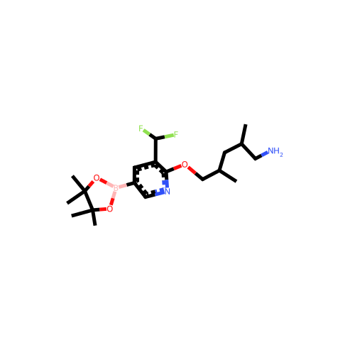 CC(CN)CC(C)COc1ncc(B2OC(C)(C)C(C)(C)O2)cc1C(F)F